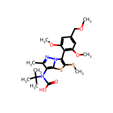 COCc1cc(OC)c(-c2c(SC)sc3c(N(C(=O)O)C(C)(C)C)c(C)nn23)c(OC)c1